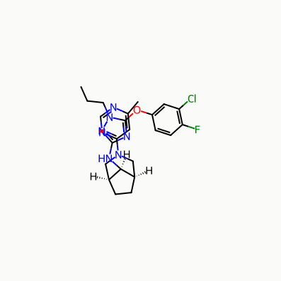 CCCn1nc(N[C@H]2[C@@H]3CC[C@H]2CN(c2cc(C)ncn2)C3)nc1Oc1ccc(F)c(Cl)c1